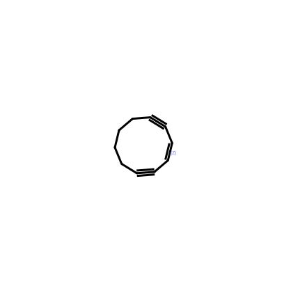 C1#CCCCCC#C/C=C\1